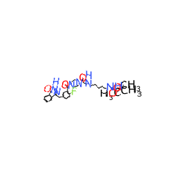 CC(C)(C)OC(=O)NCCCCCNCC(=O)N1CCN(C(=O)c2cc(Cc3n[nH]c(=O)c4ccccc34)ccc2F)CC1